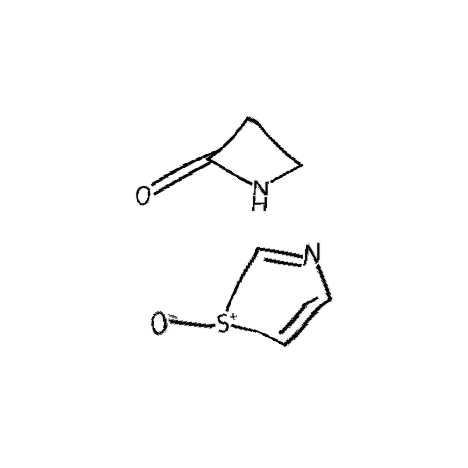 O=C1CCN1.[O-][s+]1ccnc1